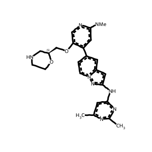 CNc1cc(-c2ccn3nc(Nc4cc(C)nc(C)n4)cc3c2)c(OC[C@@H]2CNCCO2)cn1